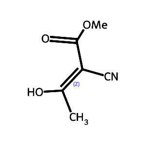 COC(=O)/C(C#N)=C(/C)O